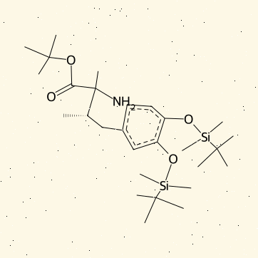 C[C@@H](Cc1ccc(O[Si](C)(C)C(C)(C)C)c(O[Si](C)(C)C(C)(C)C)c1)C(C)(N)C(=O)OC(C)(C)C